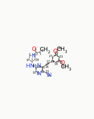 C=CC(=O)N1CCC(Nc2cnc(C#N)c(C#Cc3cc(OC)cc(OC)c3)n2)C1